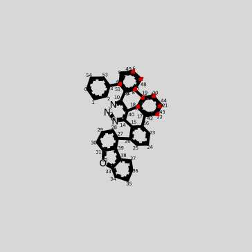 c1ccc(-c2ccccc2-c2nnnc(-c3c(-c4ccccc4)cccc3-c3cccc4oc5ccccc5c34)c2-c2ccccc2-c2ccccc2)cc1